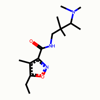 CCc1onc(C(=O)NCC(C)(C)C(C)N(C)C)c1C